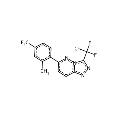 Cc1cc(C(F)(F)F)ccc1-c1ccc2nnc(C(F)(F)Cl)n2n1